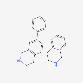 c1ccc(-c2ccc3c(c2)CNCC3)cc1.c1ccc2c(c1)CCNC2